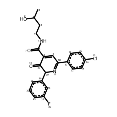 CC(O)CCNC(=O)C1=CC(c2ccc(Cl)cc2)=NC(c2cccc(F)c2)C1=O